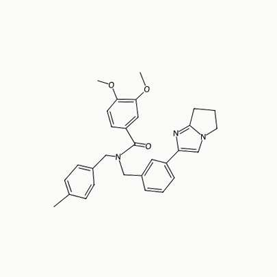 COc1ccc(C(=O)N(Cc2ccc(C)cc2)Cc2cccc(-c3cn4c(n3)CCC4)c2)cc1OC